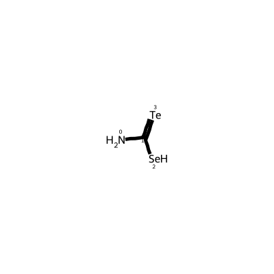 NC([SeH])=[Te]